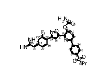 CC(C)S(=O)(=O)c1ccc(-c2cnc(OC(N)=O)c(-c3cc(C4=C(F)CC(=CC(=N)N)C=C4)no3)n2)cc1